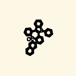 O=P1(c2ccc3ccccc3c2)c2ccccc2C2=C(c3ccccc3B2c2ccccc2)c2ccccc21